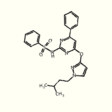 CC(C)CCn1ccc(Oc2cc(-c3ccccc3)nc(NS(=O)(=O)c3ccccc3)n2)n1